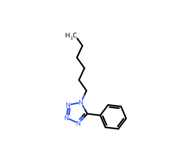 CCCCCCn1nnnc1-c1ccccc1